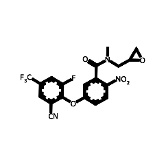 CN(CC1CO1)C(=O)c1cc(Oc2c(F)cc(C(F)(F)F)cc2C#N)ccc1[N+](=O)[O-]